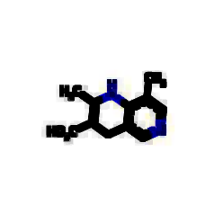 CC1=C(C(=O)O)Cc2cncc(C)c2N1